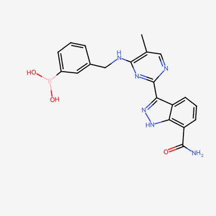 Cc1cnc(-c2n[nH]c3c(C(N)=O)cccc23)nc1NCc1cccc(B(O)O)c1